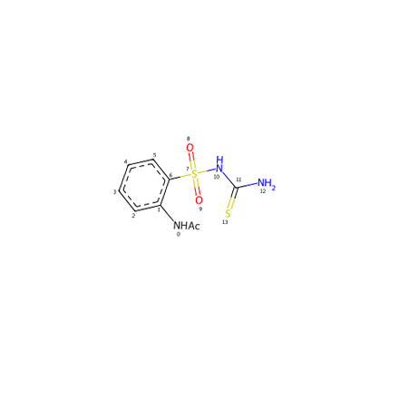 CC(=O)Nc1ccccc1S(=O)(=O)NC(N)=S